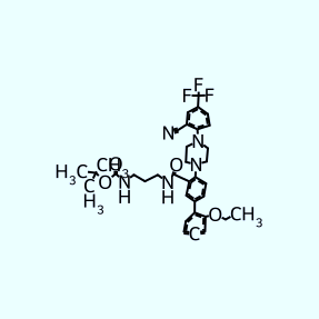 CCOc1ccccc1-c1ccc(N2CCN(c3ccc(C(F)(F)F)cc3C#N)CC2)c(C(=O)NCCCNC(=O)OC(C)(C)C)c1